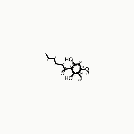 CCCCCC(=O)c1c(O)cc(OC)c(I)c1O